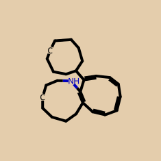 c1cccc2c(c(C3CCCCCCCC3)ccc1)NCCCCCCC2